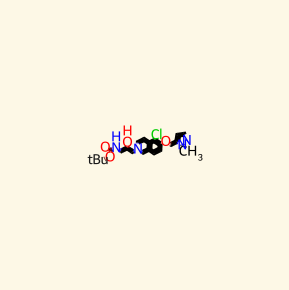 Cn1nccc1COc1ccc2c(c1Cl)CCN(CC(O)CNC(=O)OC(C)(C)C)C2